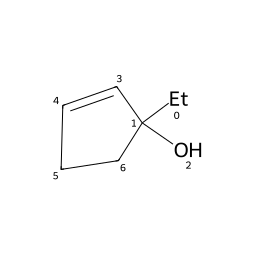 CCC1(O)C=CCC1